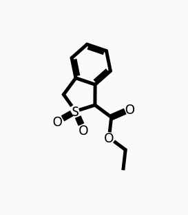 CCOC(=O)C1c2ccccc2CS1(=O)=O